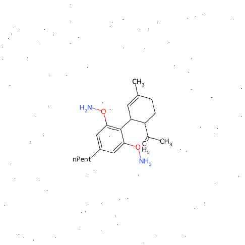 C=C(C)C1CCC(C)=CC1c1c(ON)cc(CCCCC)cc1ON